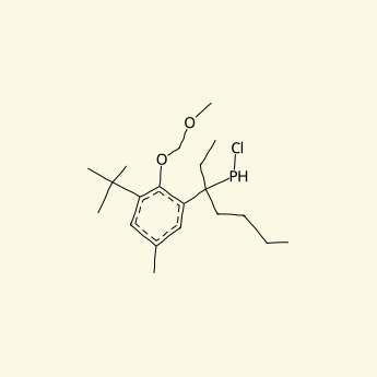 CCCCC(CC)(PCl)c1cc(C)cc(C(C)(C)C)c1OCOC